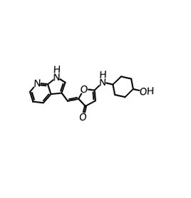 O=C1C=C(NC2CCC(O)CC2)OC1=Cc1c[nH]c2ncccc12